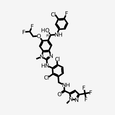 Cn1nc(C(F)(F)F)cc1C(=O)NCc1ccc(Cl)c(Nc2nc3cc([C@@H](O)Nc4ccc(F)c(Cl)c4)c(OCC(F)F)cc3n2C)c1Cl